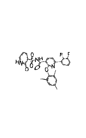 Cc1cc(C)c(Oc2nc(-c3cccc(F)c3F)ccc2C(=O)NS(=O)(=O)c2ccc[nH]c2=O)c(C)c1